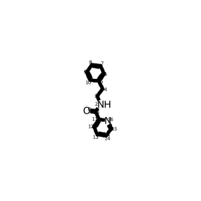 O=C(NCCc1ccccc1)c1cc[c]cn1